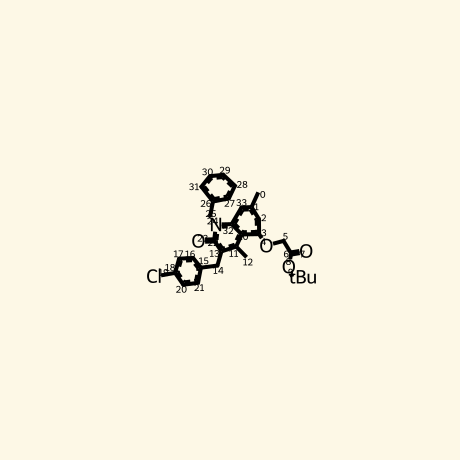 Cc1cc(OCC(=O)OC(C)(C)C)c2c(C)c(Cc3ccc(Cl)cc3)c(=O)n(Cc3ccccc3)c2c1